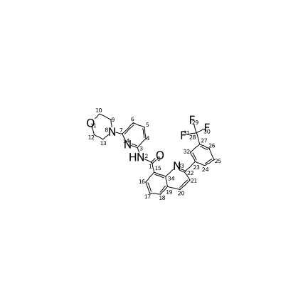 O=C(Nc1cccc(N2CCOCC2)n1)c1cccc2ccc(-c3cccc(C(F)(F)F)c3)nc12